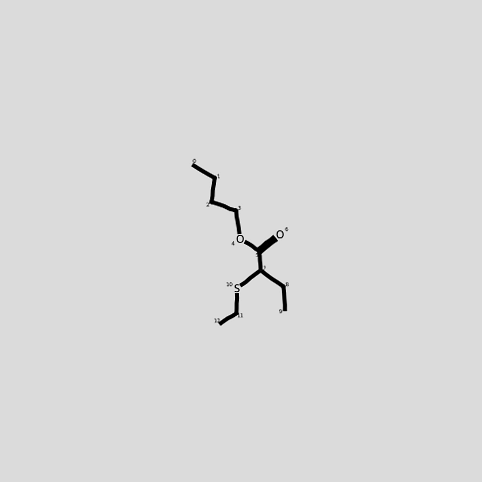 CCCCOC(=O)C(CC)SCC